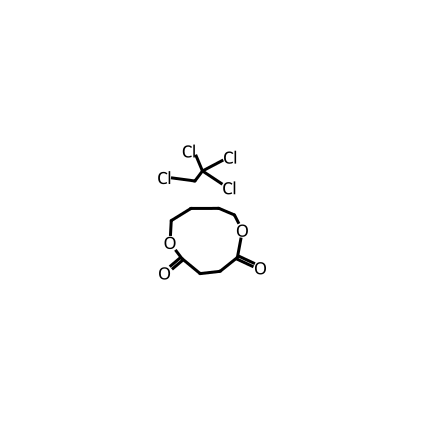 ClCC(Cl)(Cl)Cl.O=C1CCC(=O)OCCCCO1